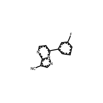 N#Cc1cnn2c(-c3cccc(F)c3)ccnc12